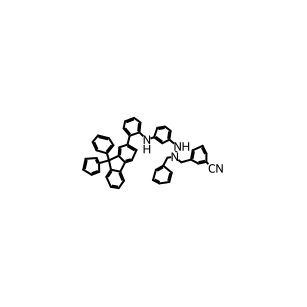 N#Cc1cccc(CN(Cc2ccccc2)Nc2cccc(Nc3ccccc3-c3ccc4c(c3)C(c3ccccc3)(c3ccccc3)c3ccccc3-4)c2)c1